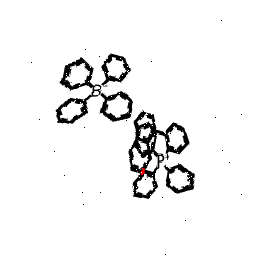 c1ccc([B-](c2ccccc2)(c2ccccc2)c2ccccc2)cc1.c1ccc([P+](c2ccccc2)(c2ccccc2)c2ccccc2-c2cccc3ccccc23)cc1